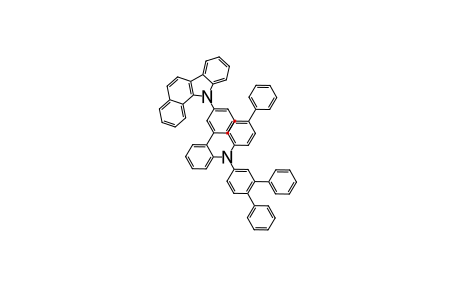 c1ccc(-c2ccc(N(c3ccc(-c4ccccc4)c(-c4ccccc4)c3)c3ccccc3-c3cccc(-n4c5ccccc5c5ccc6ccccc6c54)c3)cc2)cc1